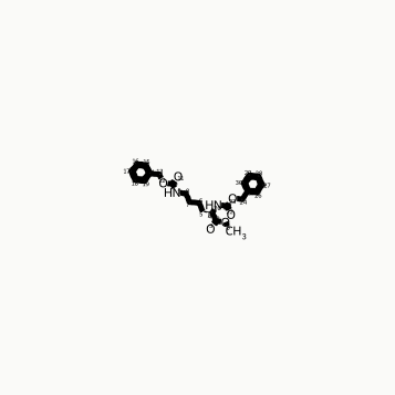 COC(=O)[C@H](CCCCNC(=O)OCc1ccccc1)NC(=O)OCc1ccccc1